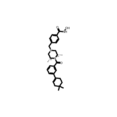 C[C@@H]1CN(Cc2ccc(C(=O)NO)cc2)C[C@H](C)N1C(=O)c1cccc(C2=CCC(C)(C)CC2)c1